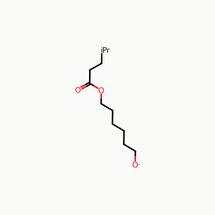 CC(C)CCC(=O)OCCCCCC[O]